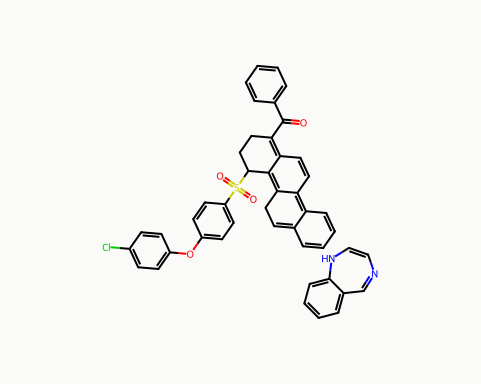 C1=CNc2ccccc2C=N1.O=C(C1=c2ccc3c(c2C(S(=O)(=O)c2ccc(Oc4ccc(Cl)cc4)cc2)CC1)CC=c1ccccc1=3)c1ccccc1